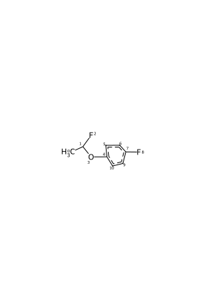 CC(F)Oc1ccc(F)cc1